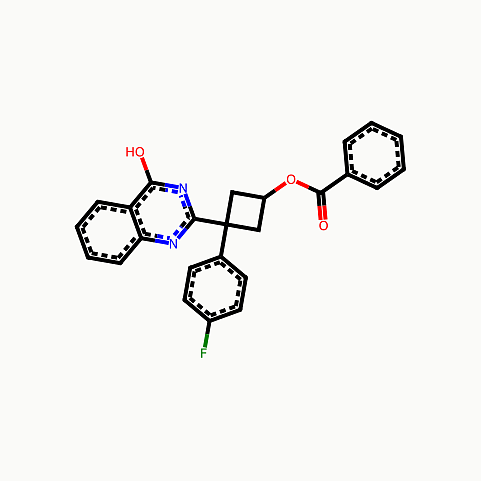 O=C(OC1CC(c2ccc(F)cc2)(c2nc(O)c3ccccc3n2)C1)c1ccccc1